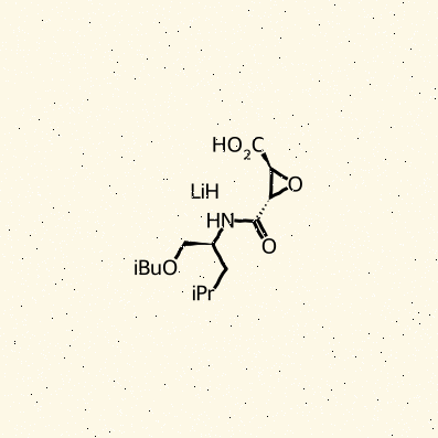 CC(C)COC[C@H](CC(C)C)NC(=O)[C@H]1O[C@@H]1C(=O)O.[LiH]